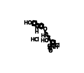 CS(=O)(=O)Nc1cc([C@@H](O)CNCCOc2ccc3c(c2)[nH]c2cc(O)ccc23)ccc1Cl.Cl